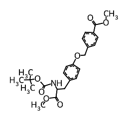 COC(=O)c1ccc(COc2ccc(CC(NC(=O)OC(C)(C)C)C(=O)OC)cc2)cc1